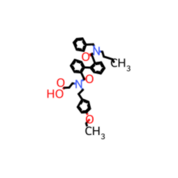 CCCCN(Cc1ccccc1)C(=O)c1ccccc1-c1ccccc1C(=O)N(CCC(=O)O)CCc1ccc(OCC)cc1